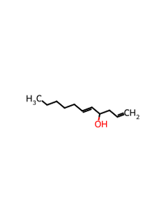 C=CCC(O)C=CCCCCC